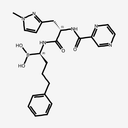 Cn1ccc(C[C@H](NC(=O)c2cnccn2)C(=O)N[C@@H](CCCc2ccccc2)B(O)O)n1